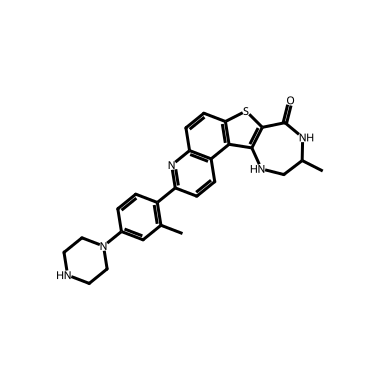 Cc1cc(N2CCNCC2)ccc1-c1ccc2c(ccc3sc4c(c32)NCC(C)NC4=O)n1